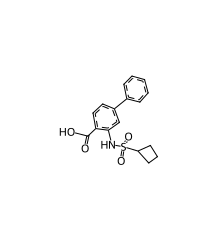 O=C(O)c1ccc(-c2ccccc2)cc1NS(=O)(=O)C1CCC1